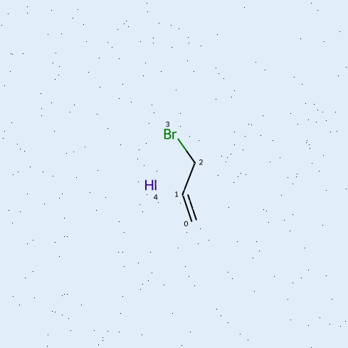 C=CCBr.I